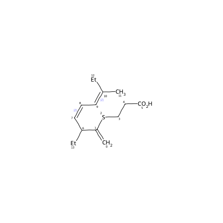 C=C(SCCC(=O)O)C(/C=C\C=C(\C)CC)CC